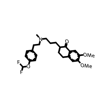 COc1cc2c(cc1OC)C(=O)C(CCCN(C)CCc1ccc(OC(F)F)cc1)CC2